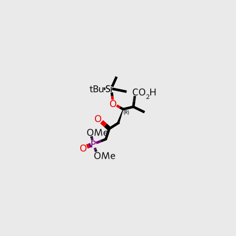 COP(=O)(CC(=O)C[C@@H](O[Si](C)(C)C(C)(C)C)C(C)C(=O)O)OC